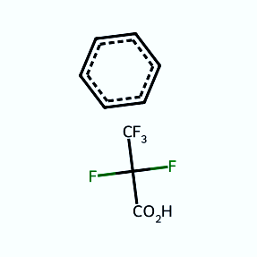 O=C(O)C(F)(F)C(F)(F)F.c1ccccc1